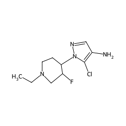 CCN1CCC(n2ncc(N)c2Cl)C(F)C1